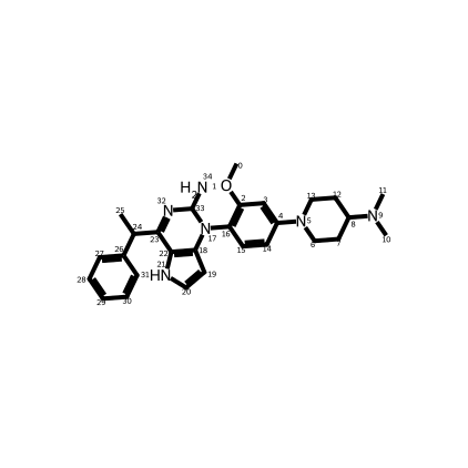 COc1cc(N2CCC(N(C)C)CC2)ccc1N1c2cc[nH]c2C(C(C)c2ccccc2)=NC1N